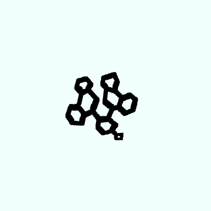 Clc1ccc(-c2cc3ccccc3c3ccccc23)c(-c2cc3ccccc3c3ccccc23)c1